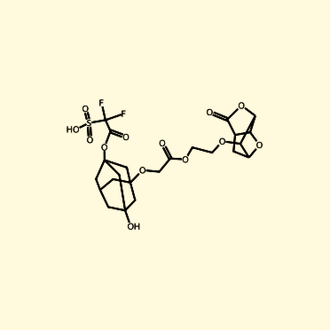 O=C(COC12CC3CC(O)(C1)CC(OC(=O)C(F)(F)S(=O)(=O)O)(C3)C2)OCCOC1C2CC3C(=O)OC1C3O2